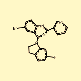 Fc1ccc2c(c1)N(c1nc(-c3cccnc3)nc3ccc(Br)cc13)CC2